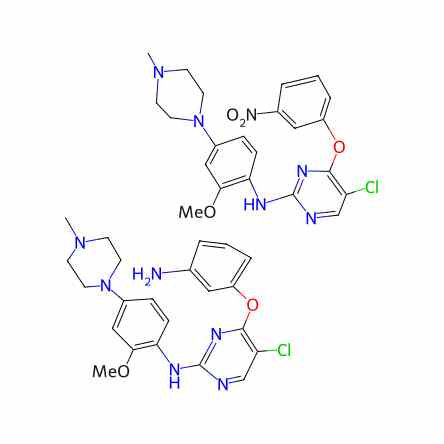 COc1cc(N2CCN(C)CC2)ccc1Nc1ncc(Cl)c(Oc2cccc(N)c2)n1.COc1cc(N2CCN(C)CC2)ccc1Nc1ncc(Cl)c(Oc2cccc([N+](=O)[O-])c2)n1